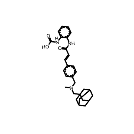 CN(Cc1ccc(C=CC(=O)Nc2ccccc2NC(=O)O)cc1)CC12CC3CC(CC(C3)C1)C2